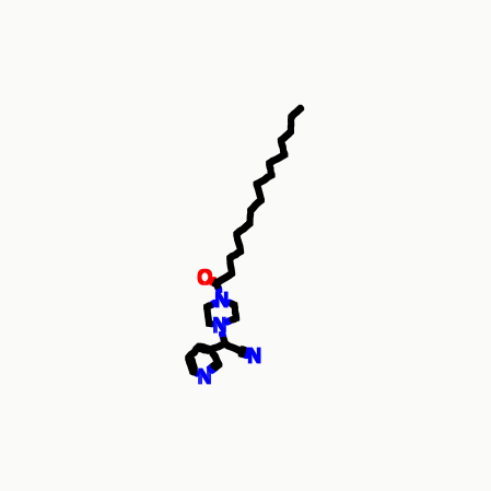 CCCCCCCCCCCCCCCC(=O)N1CCN(C(C#N)c2cccnc2)CC1